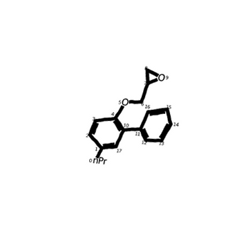 CCCc1ccc(OCC2CO2)c(-c2ccccc2)c1